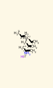 C=CC.C=CC.C=CC.C=CC.I.N